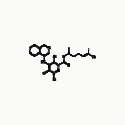 CCC(C)=CCCC(C)OC(=O)c1nn(CC)c(=O)c(Nc2cncc3ccccc23)c1C(C)=O